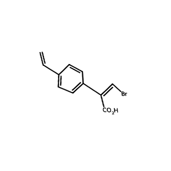 C=Cc1ccc(C(=CBr)C(=O)O)cc1